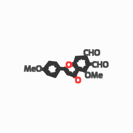 COc1ccc(-c2cc(=O)c3c(OC)c(C=O)c(C=O)cc3o2)cc1